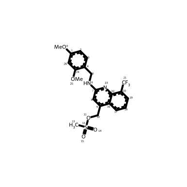 COc1ccc(CNc2cc(COS(C)(=O)=O)c3cccc(C(F)(F)F)c3n2)c(OC)c1